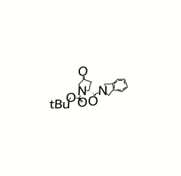 CC(C)(C)OC(=O)N1CC(=O)C[C@@H]1C(=O)N1Cc2ccccc2C1